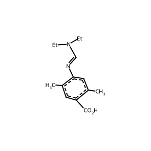 CCN(C=Nc1cc(C)c(C(=O)O)cc1C)CC